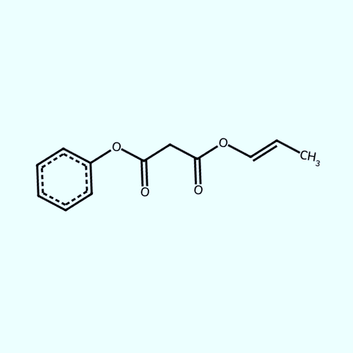 CC=COC(=O)CC(=O)Oc1ccccc1